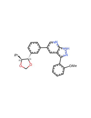 COc1ccccc1-c1n[nH]c2ncc(-c3cccc([C@@H]4OCO[C@H]4C(C)C)c3)cc12